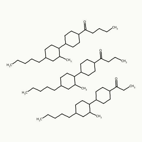 CCCCCC1CCC(C2CCC(C(=O)CC)CC2)C(C)C1.CCCCCC1CCC(C2CCC(C(=O)CCC)CC2)C(C)C1.CCCCCC1CCC(C2CCC(C(=O)CCCC)CC2)C(C)C1